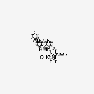 CCCC(C=O)NC1CC(Nc2ncnc(N)c2C(=N)c2ccc(Oc3ccccc3)cc2)CCC1NC